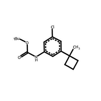 CC(C)(C)OC(=O)Nc1cc(Cl)cc(C2(C)CCC2)c1